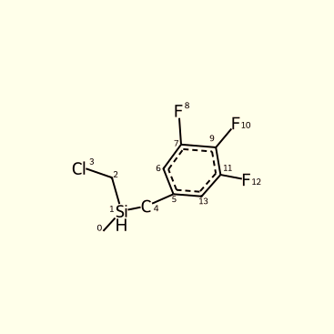 C[SiH](CCl)Cc1cc(F)c(F)c(F)c1